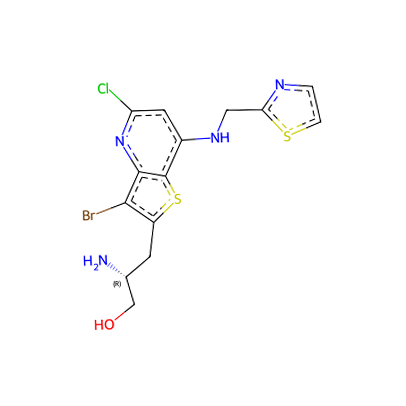 N[C@@H](CO)Cc1sc2c(NCc3nccs3)cc(Cl)nc2c1Br